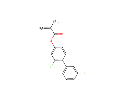 C=C(C)C(=O)Oc1ccc(-c2cccc(F)c2)c(F)c1